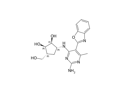 Cc1nc(N)nc(N[C@@H]2C[C@H](CO)[C@@H](O)[C@H]2O)c1-c1nc2ccccc2o1